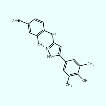 CC(=O)Nc1ccc(Nc2cc(-c3cc(C)c(O)c(C)c3)[nH]n2)c(C)c1